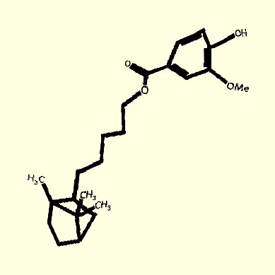 COc1cc(C(=O)OCCCCCC2CC3CCC2(C)C3(C)C)ccc1O